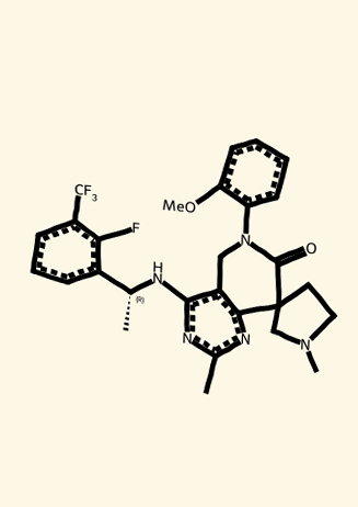 COc1ccccc1N1Cc2c(N[C@H](C)c3cccc(C(F)(F)F)c3F)nc(C)nc2C2(CCN(C)C2)C1=O